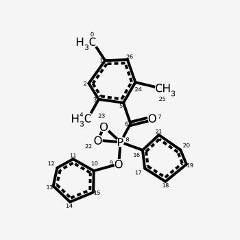 Cc1cc(C)c(C(=O)P2(Oc3ccccc3)(c3ccccc3)OO2)c(C)c1